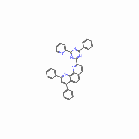 c1ccc(-c2cc(-c3ccccc3)c3ccc4ccc(-c5nc(-c6ccccc6)nc(-c6ccccn6)n5)nc4c3n2)cc1